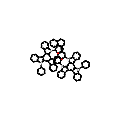 c1ccc(-n2c3ccccc3c3c4c5ccccc5n(-c5ccccc5)c4c4c(c5ccccc5n4-c4cc(-c5cccc6ccccc56)cc(-n5c6ccccc6c6c7c(c8ccccc8n7-c7ccccc7)c7c8ccccc8n(-c8ccccc8)c7c65)c4)c32)cc1